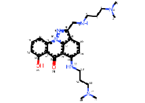 CN(C)CCCNCc1nn2c3cccc(O)c3c(=O)c3c(NCCCN(C)C)ccc1c32